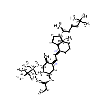 C=C1/C(=C\C=C2/CCC[C@@]3(C)C2CC[C@@H]3C(C)CCCC(C)(C)O)C[C@@H](OC(=O)CBr)C[C@@H]1O[Si](C)(C)C(C)(C)C